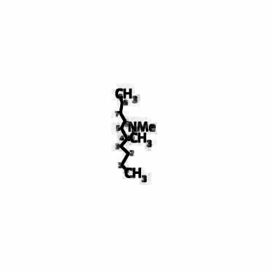 CCCCCCCCCC.CNC